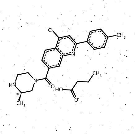 CCCC(=O)O.Cc1ccc(-c2cc(Cl)c3ccc(C(=O)N4CCN[C@H](C)C4)cc3n2)cc1